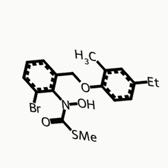 CCc1ccc(OCc2cccc(Br)c2N(O)C(=O)SC)c(C)c1